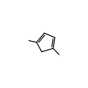 CC1=CC=C(C)C1